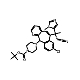 Cn1cncc1C(C)(N=[N+]=[N-])C1=Cc2cccnc2C(N2CCN(C(=O)OC(C)(C)C)CC2)c2ccc(Cl)cc21